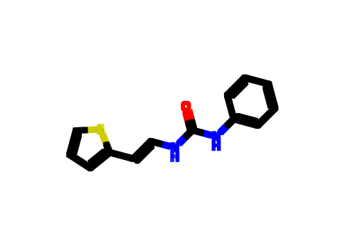 O=C(N/C=C/c1cccs1)Nc1ccccc1